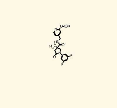 CC(C)(C)Oc1cc(CNC(=O)C2(C)CC(=O)N(c3cc(F)cc(F)c3)C2)ccn1